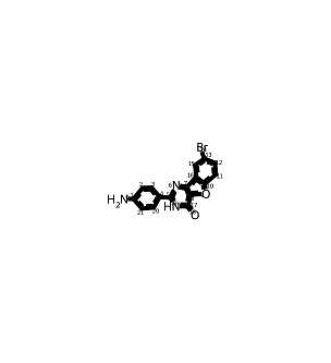 Nc1ccc(-c2nc3c(oc4ccc(Br)cc43)c(=O)[nH]2)cc1